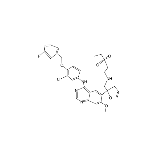 CCS(=O)(=O)CCNCC1(c2cc3c(Nc4ccc(OCc5cccc(F)c5)c(Cl)c4)ncnc3cc2OC)CC=CO1